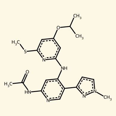 CSc1cc(OC(C)C)cc(Nc2cc(NC(C)=O)ncc2-c2ccn(C)n2)n1